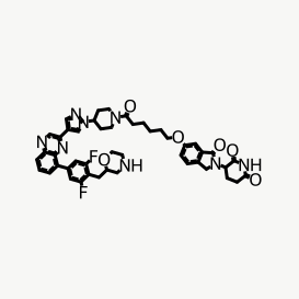 O=C1CCC(N2Cc3ccc(OCCCCCC(=O)N4CCC(n5cc(-c6cnc7cccc(-c8cc(F)c(CC9CNCCO9)c(F)c8)c7n6)cn5)CC4)cc3C2=O)C(=O)N1